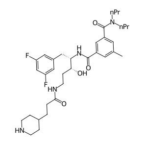 CCCN(CCC)C(=O)c1cc(C)cc(C(=O)N[C@@H](Cc2cc(F)cc(F)c2)[C@H](O)CCNC(=O)CCC2CCNCC2)c1